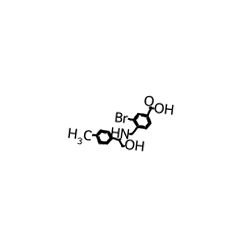 Cc1ccc(C(CO)NCc2ccc(C(=O)O)cc2Br)cc1